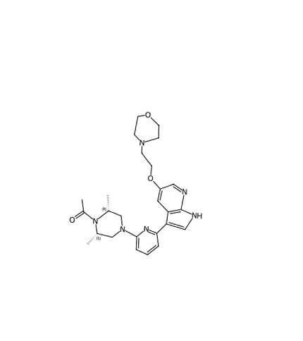 CC(=O)N1[C@H](C)CN(c2cccc(-c3c[nH]c4ncc(OCCN5CCOCC5)cc34)n2)C[C@@H]1C